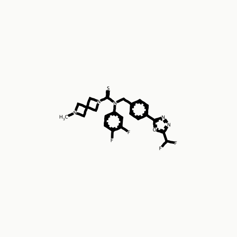 CN1CC2(C1)CN(C(=S)N(Cc1ccc(-c3nnc(C(F)F)o3)cc1)c1ccc(F)c(F)c1)C2